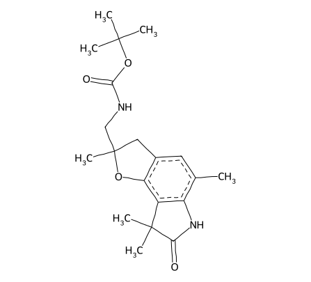 Cc1cc2c(c3c1NC(=O)C3(C)C)OC(C)(CNC(=O)OC(C)(C)C)C2